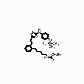 CC(C)(C)OC(=O)NCCCCCc1ccccc1CCc1nnc(Nc2ccc(O[Si](C)(C)C)cc2)[se]1